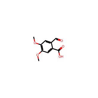 COc1cc(C=O)c(C(=O)O)cc1OC